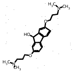 CN(C)CCCOc1ccc2c(c1)C(O)c1cc(OCCCN(C)C)ccc1-2